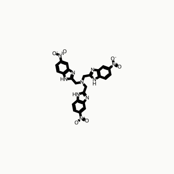 O=[N+]([O-])c1ccc2[nH]c(CN(Cc3nc4cc([N+](=O)[O-])ccc4[nH]3)Cc3nc4cc([N+](=O)[O-])ccc4[nH]3)nc2c1